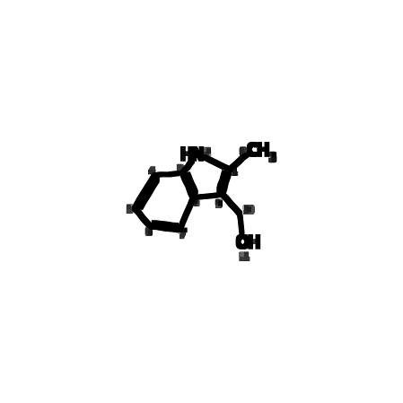 Cc1[nH]c2ccc[c]c2c1CO